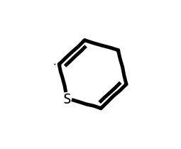 [C]1=CCC=CS1